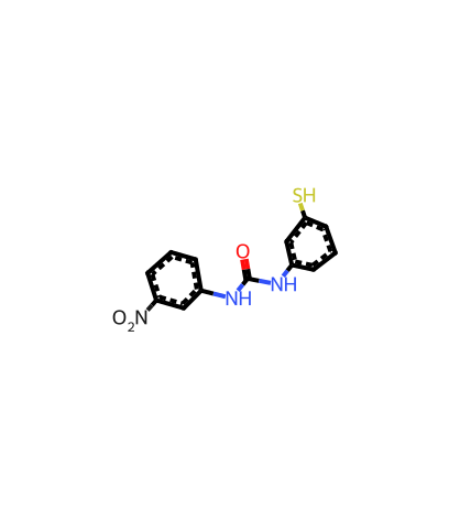 O=C(Nc1cccc(S)c1)Nc1cccc([N+](=O)[O-])c1